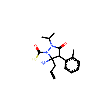 C=CCC1(N)C(c2ccccc2C)C(=O)N(C(C)C)N1C(=O)S